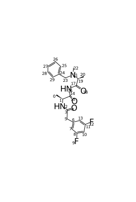 C[C@H](NC(=O)Cc1cc(F)cc(F)c1)C(=O)NC(=O)[C@H](C)N(C)Cc1ccccc1